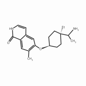 CC[C@]1(C(C)N)CC[C@@H](Oc2cc3cc[nH]c(=O)c3cc2C)CC1